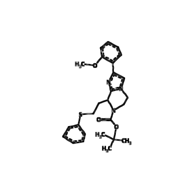 COc1ccccc1-c1cn2c(n1)C(CCSc1ccccc1)N(C(=O)OC(C)(C)C)CC2